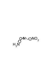 Nc1ccc(OC2CN(CCc3ccc([N+](=O)[O-])cc3)C2)cc1